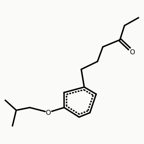 CCC(=O)CCCc1cccc(OCC(C)C)c1